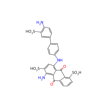 Nc1ccc(-c2ccc(Nc3cc(S(=O)(=O)O)c(N)c4c3C(=O)c3c(cccc3S(=O)(=O)O)C4=O)cc2)cc1S(=O)(=O)O